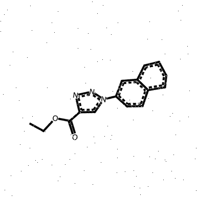 CCOC(=O)c1cn(-c2ccc3ccccc3c2)nn1